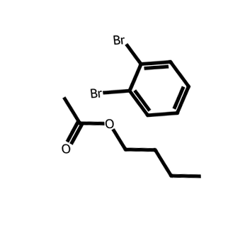 Brc1ccccc1Br.CCCCOC(C)=O